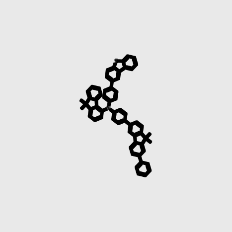 CC1(C)c2ccc(-c3ccc(N(c4ccc(-c5ccc6sc7ccccc7c6c5)cc4)c4cccc5c4-c4ccccc4C5(C)C)cc3)cc2-c2ccc(-c3ccccc3)cc21